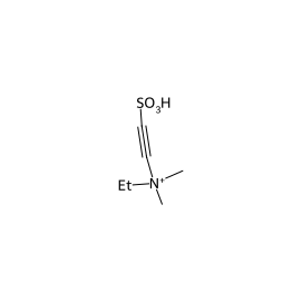 CC[N+](C)(C)C#CS(=O)(=O)O